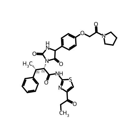 CCC(=O)c1csc(NC(=O)[C@H]([C@@H](C)c2ccccc2)N2C(=O)NC(c3ccc(OCC(=O)N4CCCC4)cc3)C2=O)n1